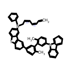 C=C/C=C\C=C/CN(c1ccccc1)c1ccc2sc3ccc(-c4ccc(C)c(-c5cc(-n6c7ccccc7c7ccccc76)ccc5C)c4)cc3c2c1